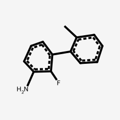 Cc1ccccc1-c1cccc(N)c1F